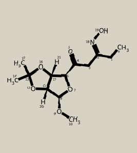 CCC(CC(=O)[C@H]1O[C@@H](OC)[C@@H]2OC(C)(C)O[C@@H]21)=NO